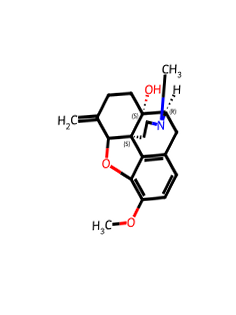 C=C1CC[C@@]2(O)[C@H]3Cc4ccc(OC)c5c4[C@@]2(CCN3C)C1O5